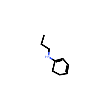 CCCNC1=CC=CCC1